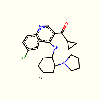 O=C(c1cnc2ccc(Br)cc2c1NC1CCCCC1N1CCCC1)C1CC1.[Fe]